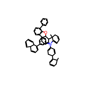 CC1CC=CC=C1C1C=CC(N(C2=CC=CCC2(C)C2C=CCC3c4cccc(-c5ccccc5)c4OC32)c2cccc(C3=CC=CC4C=CC=CC34)c2)=CC1